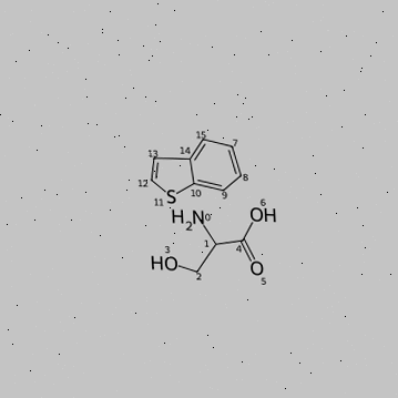 NC(CO)C(=O)O.c1ccc2sccc2c1